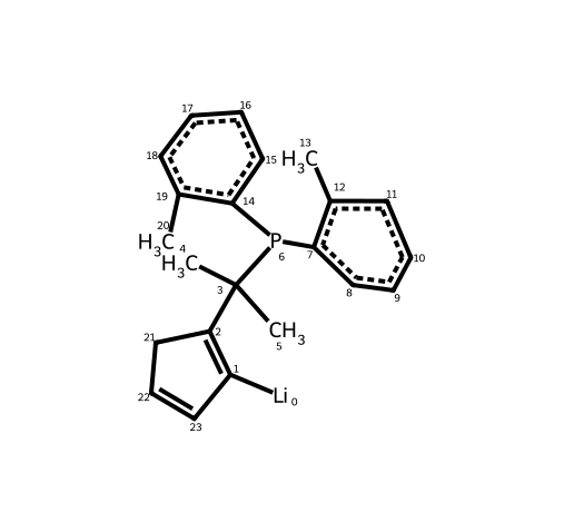 [Li][C]1=C(C(C)(C)P(c2ccccc2C)c2ccccc2C)CC=C1